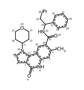 Cc1cc2[nH]c(=O)c3cnn(C4CCOCC4)c3c2cc1C(=O)NC(CC(C)C)c1ccccc1